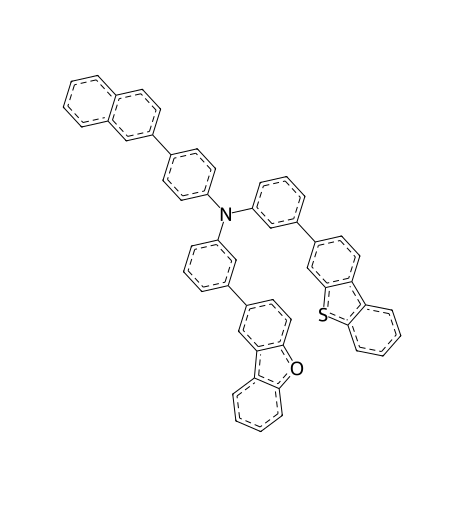 c1cc(-c2ccc3c(c2)sc2ccccc23)cc(N(c2ccc(-c3ccc4ccccc4c3)cc2)c2cccc(-c3ccc4oc5ccccc5c4c3)c2)c1